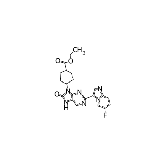 CCOC(=O)C1CCC(n2c(=O)[nH]c3cnc(-c4cnc5ccc(F)cn45)nc32)CC1